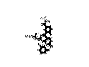 CCCNC(=O)c1ccc(C)c(-c2nc(NC(C)NC)nc3c2ccc(=O)n3-c2c(F)cccc2F)c1